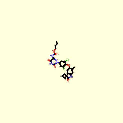 CCCCOC(=O)Nc1nn(-c2cc(Cl)c(Oc3cc4c(cc3C)NC(=O)C43CCC3)c(Cl)c2)c(=O)[nH]c1=O